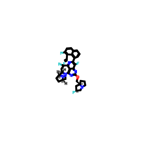 C#Cc1c(F)ccc2cccc(-c3nc4c5c(nc(OC[C@@]67CCCN6C[C@H](F)C7)nc5c3F)N3C[C@H]5CC[C@H](N5)[C@H]3CC4(F)F)c12